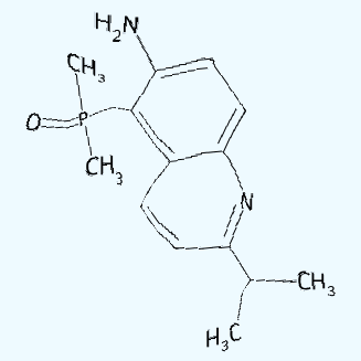 CC(C)c1ccc2c(P(C)(C)=O)c(N)ccc2n1